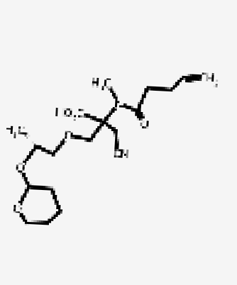 C=CCCC(=O)N(C)C(CC#N)(COC[C@@H](C)OC1CCCCO1)C(=O)O